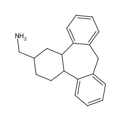 NCC1CCC2c3ccccc3Cc3ccccc3C2C1